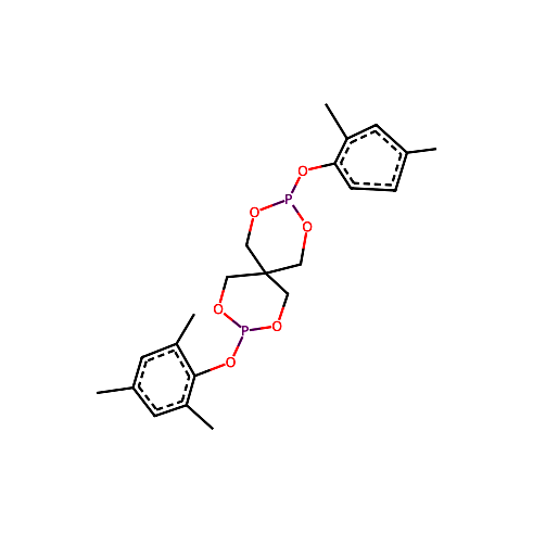 Cc1ccc(OP2OCC3(CO2)COP(Oc2c(C)cc(C)cc2C)OC3)c(C)c1